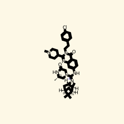 C[C@@H]1[C@@H](/N=C(/Nc2ccc3c(=O)n(CCc4ccc(Cl)cc4)c(C4CCN(C)CC4)nc3c2)N2CC(=O)N[C@@H](C)C2)C[C@H]2C[C@@H]1C2(C)C